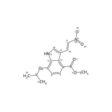 COC(=O)c1ccc(OC(C)C)c2[nH]cc(C=C[N+](=O)[O-])c12